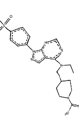 CCN(CC1CCN(C(=O)O)CC1)c1ncnc2c1cnn2-c1ccc(S(C)(=O)=O)cc1